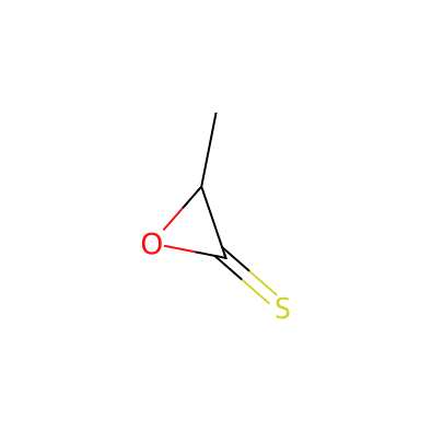 CC1OC1=S